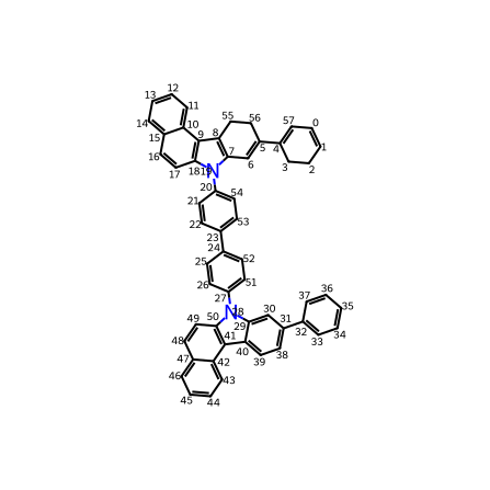 C1=CCCC(C2=Cc3c(c4c5ccccc5ccc4n3-c3ccc(-c4ccc(-n5c6cc(-c7ccccc7)ccc6c6c7ccccc7ccc65)cc4)cc3)CC2)=C1